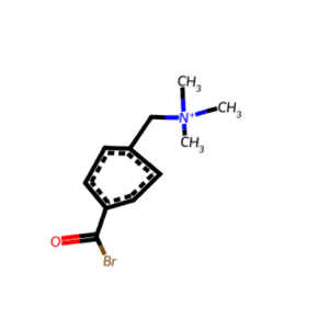 C[N+](C)(C)Cc1ccc(C(=O)Br)cc1